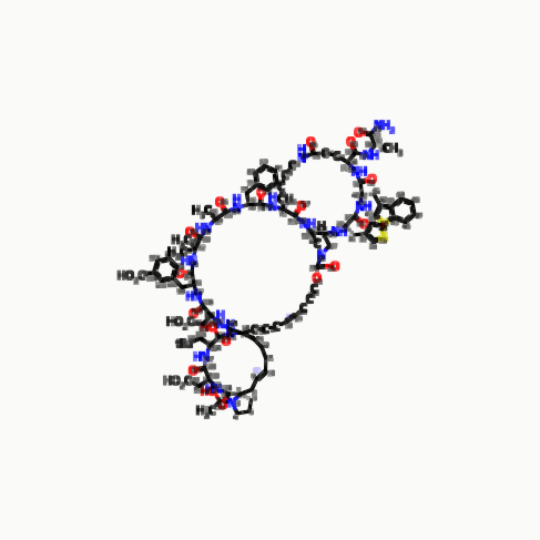 CC(O)N1CCC[C@]12C/C=C/CCC[C@@]1(CCC/C=C\CCCOC(=O)N3CC4N[C@@H](Cc5ccsc5)C(=O)N[C@@H](Cc5csc6ccccc56)C(=O)N[C@H](C(=O)N[C@@H](C)C(N)=O)CCC(=O)NCCCC[C@H](NC(=O)[C@H](Cc5ccccc5)NC(=O)[C@H](C)NC(=O)C(C)(C)NC(=O)[C@H](Cc5cccc(C(=O)O)c5)NC(=O)[C@H](CC(=O)O)NC1=O)C(=O)N[C@@H]4C3)NC(O)[C@H](CC(C)(C)C)NC(=O)[C@H](CC(=O)O)NC2=O